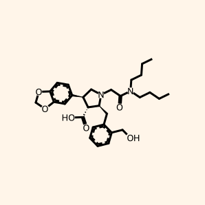 CCCCN(CCCC)C(=O)CN1C[C@H](c2ccc3c(c2)OCO3)[C@@H](C(=O)O)[C@@H]1Cc1ccccc1CO